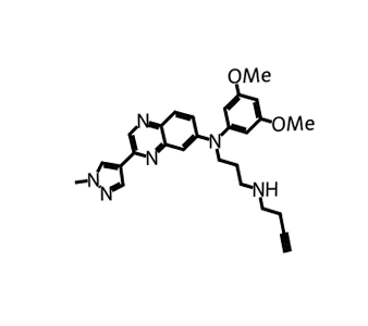 C#CCCNCCCN(c1cc(OC)cc(OC)c1)c1ccc2ncc(-c3cnn(C)c3)nc2c1